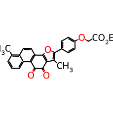 CCOC(=O)COc1ccc(-c2oc3c(c2C)C(=O)C(=O)c2c-3ccc3c(C)cccc23)cc1